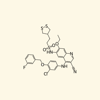 CCOc1cc2ncc(C#N)c(Nc3ccc(OCc4cccc(F)c4)c(Cl)c3)c2cc1NS(=O)(=O)CCC1CSSC1